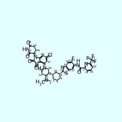 CN(C[C@H]1CC[C@H](c2nc3cc(F)c(NC(=O)c4cccc(C(F)(F)F)n4)cc3s2)CC1)C1CCN(c2cc(Cl)cc3c2n(C)c(=O)n3C2CCC(=O)NC2=O)CC1